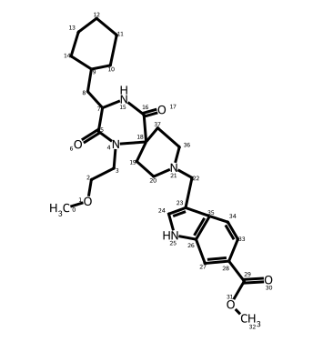 COCCN1C(=O)C(CC2CCCCC2)NC(=O)C12CCN(Cc1c[nH]c3cc(C(=O)OC)ccc13)CC2